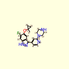 CC1(Oc2cc3c(-c4ccnc(N5CCNCC5)c4)n[nH]c3cc2F)CC1